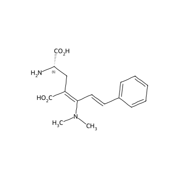 CN(C)C(C=Cc1ccccc1)=C(C[C@H](N)C(=O)O)C(=O)O